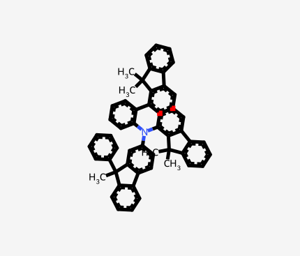 CC1(C)c2ccccc2-c2cccc(-c3ccccc3N(c3ccc4c(c3)C(C)(c3ccccc3)c3ccccc3-4)c3cccc4c3C(C)(C)c3ccccc3-4)c21